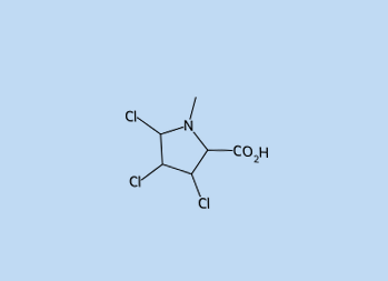 CN1C(Cl)C(Cl)C(Cl)C1C(=O)O